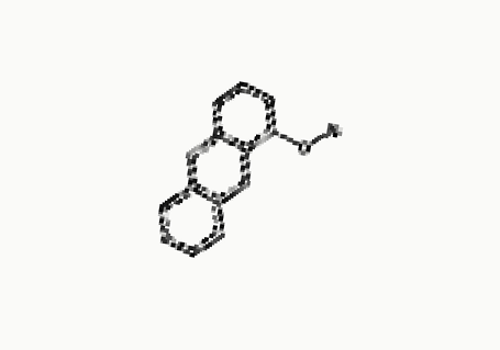 [N]Oc1cccc2cc3ccccc3cc12